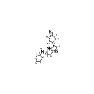 CN(c1ccccc1)c1ccc2ncc(-c3ccc(F)cc3)n2n1